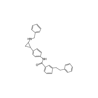 O=C(Nc1ccc(C2CC2NCc2ccccc2)cc1)c1cccc(CCc2ccccc2)c1